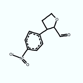 O=CC1OCCC1c1ccc([N+](=O)[O-])cc1